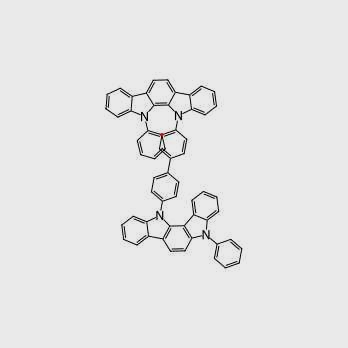 c1ccc(-n2c3ccccc3c3c2ccc2c4ccccc4n(-c4ccc(-c5ccc(-n6c7ccccc7c7ccc8c9ccccc9n(-c9ccccc9)c8c76)cc5)cc4)c23)cc1